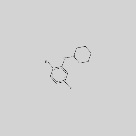 Fc1ccc(Br)c(ON2CCCCC2)c1